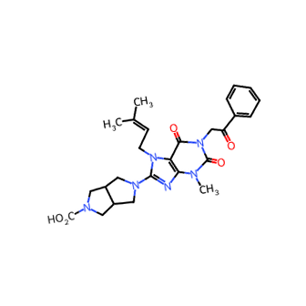 CC(C)=CCn1c(N2CC3CN(C(=O)O)CC3C2)nc2c1c(=O)n(CC(=O)c1ccccc1)c(=O)n2C